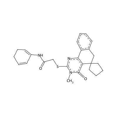 Cn1c(SCC(=O)NC2=CCCC=C2)nc2c(c1=O)C1(CCCC1)Cc1ccccc1-2